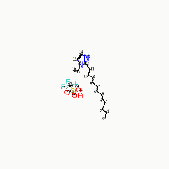 CCCCCCCCCCCCc1nccn1CC.O=S(=O)(O)C(F)(F)F